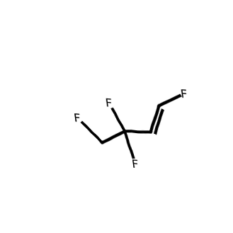 FC=CC(F)(F)CF